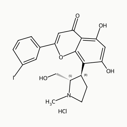 CN1CC[C@H](c2c(O)cc(O)c3c(=O)cc(-c4cccc(I)c4)oc23)[C@H]1CO.Cl